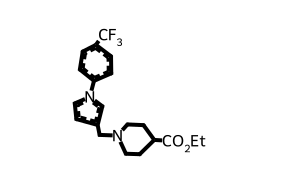 CCOC(=O)C1CCN(Cc2ccn(-c3ccc(C(F)(F)F)cc3)c2)CC1